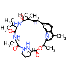 Cc1cc2nc3cc(ccc13)/C=C/C(C)(C)C(=O)NC(C(C)C)C(=O)N[C@@H](C)C(=O)N1CCC[C@H](N1)C(=O)O[C@@H]2C